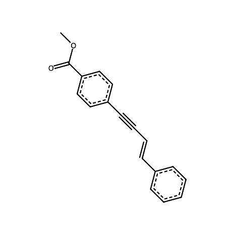 COC(=O)c1ccc(C#C/C=C/c2ccccc2)cc1